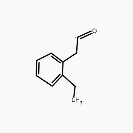 CCc1ccccc1C[C]=O